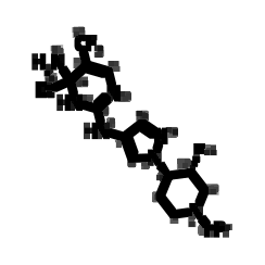 CCCN1CC[C@@H](n2cc(NC3=NC=C(C(F)(F)F)C(N)(CC)N3)cn2)[C@H](F)C1